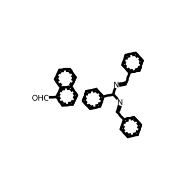 C(=NC(N=Cc1ccccc1)c1ccccc1)c1ccccc1.O=Cc1cccc2ccccc12